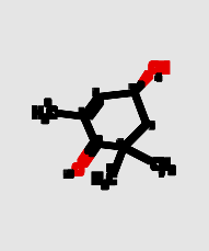 CC1=C[C@@H](O)CC(C)(C)C1=O